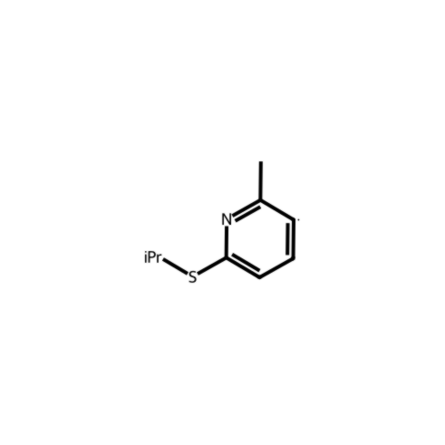 Cc1[c]ccc(SC(C)C)n1